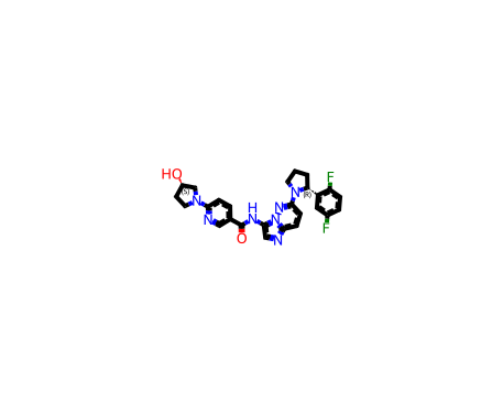 O=C(Nc1cnc2ccc(N3CCC[C@@H]3c3cc(F)ccc3F)nn12)c1ccc(N2CC[C@H](O)C2)nc1